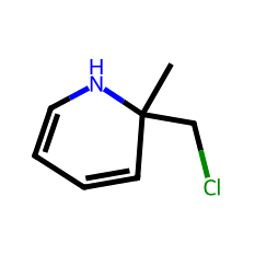 CC1(CCl)C=CC=CN1